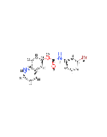 O=C(Nc1cccc(Br)c1)Oc1ccc2ncccc2c1